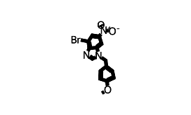 COc1ccc(Cn2cnc3c(Br)cc([N+](=O)[O-])cc32)cc1